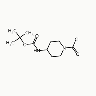 CC(C)(C)OC(=O)NC1CCN(C(=O)Cl)CC1